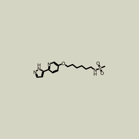 CS(=O)(=O)NCCCCCCOc1ccc(-c2ccn[nH]2)nc1